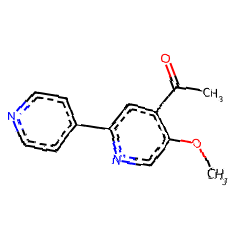 COc1cnc(-c2ccncc2)cc1C(C)=O